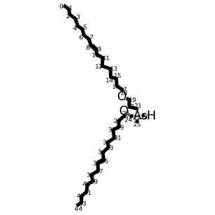 CCCCCCCCC=CCCCCCCCCOCC(C[AsH](C)(C)C)OCCCCCCCCC=CCCCCCCCC